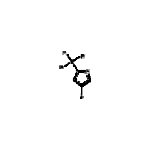 CC(C)[Si](C(C)C)(C(C)C)n1cc(Br)cn1